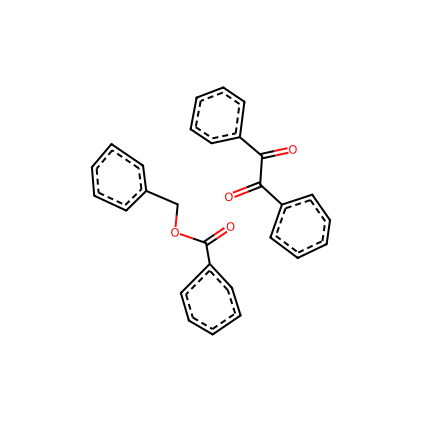 O=C(C(=O)c1ccccc1)c1ccccc1.O=C(OCc1ccccc1)c1ccccc1